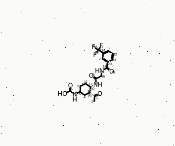 CC(=O)[C@@H]1CC(NC(=O)O)CC[C@@H]1NC(=O)CNC(=O)c1cccc(C(F)(F)F)c1